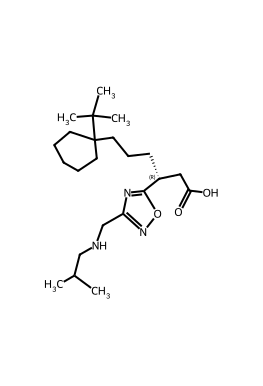 CC(C)CNCc1noc([C@H](CCCC2(C(C)(C)C)CCCCC2)CC(=O)O)n1